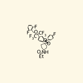 CCC(=O)N[C@H]1CC[C@@](c2ccc(C(OCc3c(F)cccc3F)(C(F)(F)F)C(F)(F)F)cc2)(S(=O)(=O)c2ccc(F)cc2)CC1